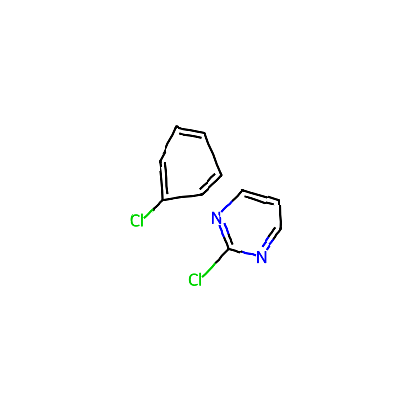 Clc1ccccc1.Clc1ncccn1